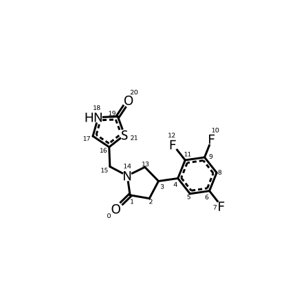 O=C1CC(c2cc(F)cc(F)c2F)CN1Cc1c[nH]c(=O)s1